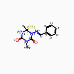 CC(C)N1C(=O)NC(C)(S)N(N=Cc2ccccc2)C1=O